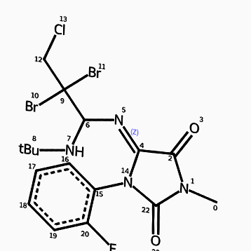 CN1C(=O)/C(=N/C(NC(C)(C)C)C(Br)(Br)CCl)N(c2ccccc2F)C1=O